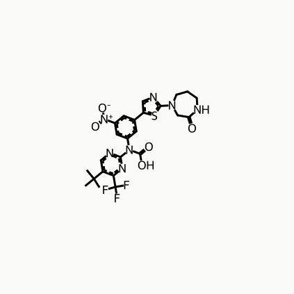 CC(C)(C)c1cnc(N(C(=O)O)c2cc(-c3cnc(N4CCCNC(=O)C4)s3)cc([N+](=O)[O-])c2)nc1C(F)(F)F